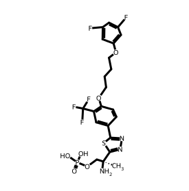 C[C@](N)(COP(=O)(O)O)c1nnc(-c2ccc(OCCCCOc3cc(F)cc(F)c3)c(C(F)(F)F)c2)s1